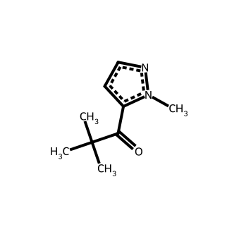 Cn1nccc1C(=O)C(C)(C)C